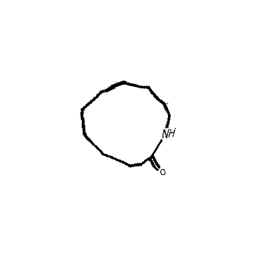 O=C1CCCCCCC[CH]N1